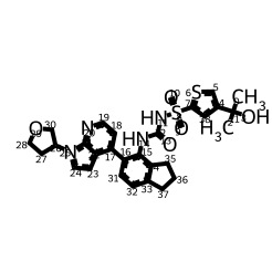 CC(C)(O)c1csc(S(=O)(=O)NC(=O)Nc2c(-c3ccnc4c3ccn4C3CCOC3)ccc3c2CCC3)c1